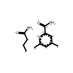 CCCC(N)=O.Cc1cc(C)nc(C(N)=O)c1